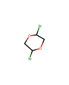 BrC1COC(Br)CO1